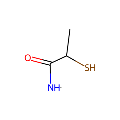 CC(S)C([NH])=O